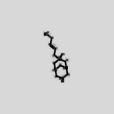 C[N+]1(C/C=C/CCl)CN2CNCN(C2)C1